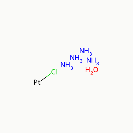 N.N.N.N.O.[Cl][Pt]